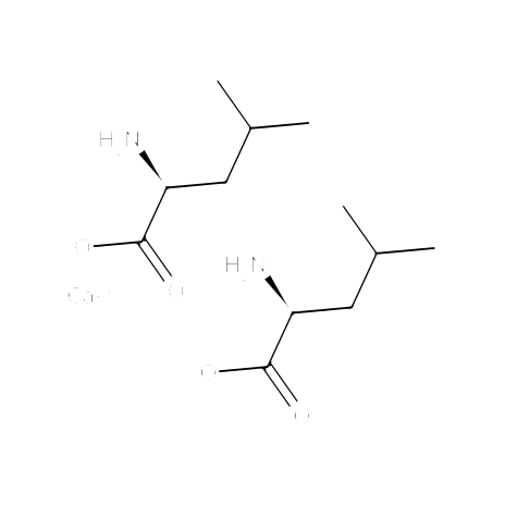 CC(C)C[C@H](N)C(=O)[O-].CC(C)C[C@H](N)C(=O)[O-].[Ca+2]